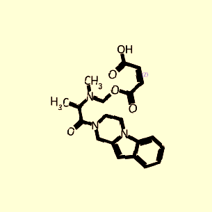 CC(C(=O)N1CCn2c(cc3ccccc32)C1)N(C)COC(=O)/C=C\C(=O)O